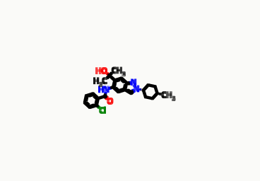 CC(C)(O)c1cc2nn([C@H]3CC[C@H](C)CC3)cc2cc1NC(=O)c1ccccc1Cl